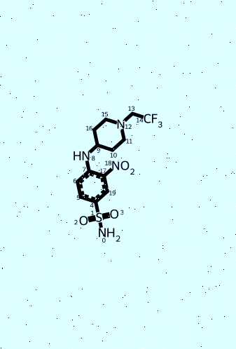 NS(=O)(=O)c1ccc(NC2CCN(CC(F)(F)F)CC2)c([N+](=O)[O-])c1